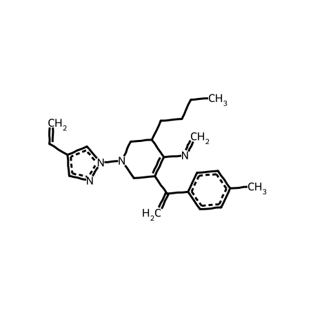 C=Cc1cnn(N2CC(C(=C)c3ccc(C)cc3)=C(N=C)C(CCCC)C2)c1